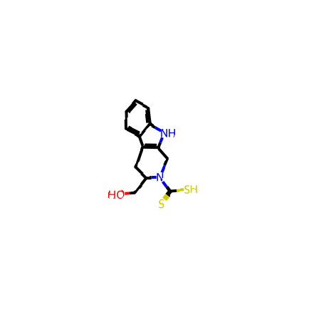 OCC1Cc2c([nH]c3ccccc23)CN1C(=S)S